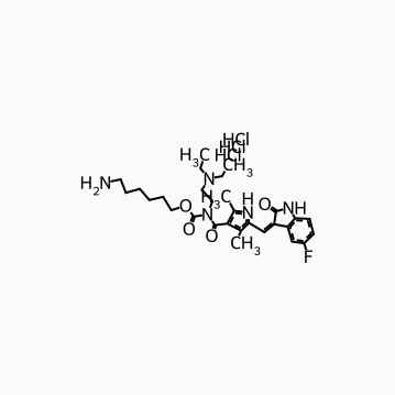 CCN(CC)CCN(C(=O)OCCCCCCN)C(=O)c1c(C)[nH]c(C=C2C(=O)Nc3ccc(F)cc32)c1C.Cl.Cl.Cl